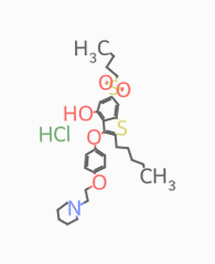 CCCCCc1sc2cc(S(=O)(=O)CCCC)cc(O)c2c1Oc1ccc(OCCN2CCCCC2)cc1.Cl